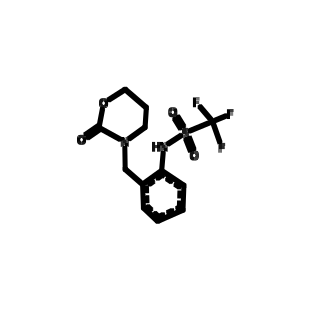 O=C1OCCCN1Cc1ccccc1NS(=O)(=O)C(F)(F)F